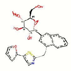 OC[C@H]1O[C@@H](c2cc(Cc3ncc(-c4ccco4)s3)c3ccccc3c2)[C@H](O)[C@@H](O)[C@@H]1O